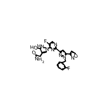 NC(=O)CC1=CN(c2nc(-c3cc(-c4ccon4)n(Cc4ccccc4F)n3)ncc2F)NC1O